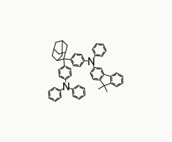 CC1(C)c2ccccc2-c2cc(N(c3ccccc3)c3ccc(C4(c5ccc(N(c6ccccc6)c6ccccc6)cc5)C5CC6CC(C5)CC4C6)cc3)ccc21